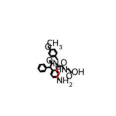 COc1ccc(CN(C(=O)C(c2ccccc2)c2ccccc2)[C@H](CCCN)C(=O)NCC(=O)O)cc1